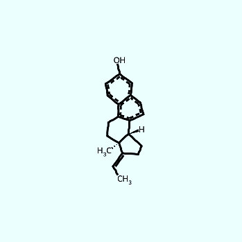 C/C=C1\CC[C@H]2c3ccc4cc(O)ccc4c3CC[C@]12C